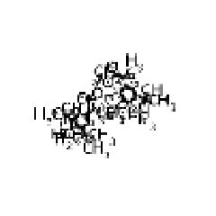 [CH2]C(COC(=O)C(C)c1cc(C(C)(C)C)c(O)c(C(C)(C)C)c1)OC(=O)C(C)c1cc(C(C)(C)C)c(O)c(C(C)(C)C)c1